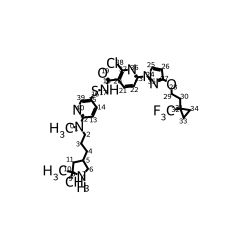 CN(CCCC1CNC(C)(C)C1)c1ccc(SNC(=O)c2ccc(-n3ccc(OCCC4(C(F)(F)F)CC4)n3)nc2Cl)cn1